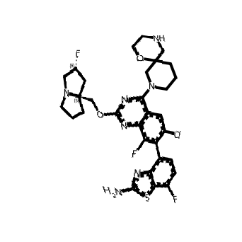 Nc1nc2c(-c3c(Cl)cc4c(N5CCCC6(CNCCO6)C5)nc(OC[C@@]56CCCN5C[C@H](F)C6)nc4c3F)ccc(F)c2s1